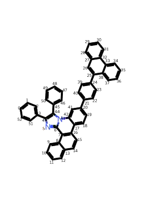 c1ccc(-c2nc3c4c5ccccc5ccc4c4ccc(-c5ccc(-c6cc7ccccc7c7ccccc67)cc5)cc4n3c2-c2ccccc2)cc1